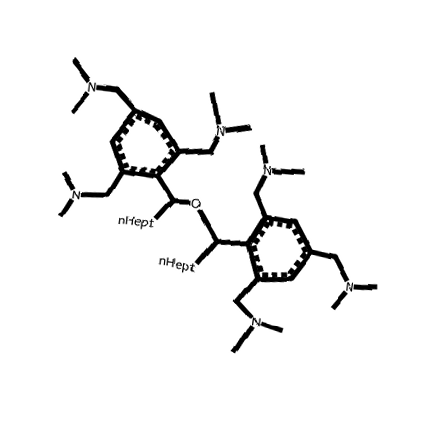 CCCCCCCC(OC(CCCCCCC)c1c(CN(C)C)cc(CN(C)C)cc1CN(C)C)c1c(CN(C)C)cc(CN(C)C)cc1CN(C)C